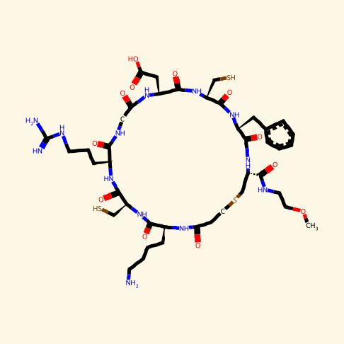 COCCNC(=O)[C@@H]1CSCCC(=O)N[C@@H](CCCCN)C(=O)N[C@@H](CS)C(=O)N[C@@H](CCCNC(=N)N)C(=O)NCC(=O)N[C@@H](CC(=O)O)C(=O)N[C@@H](CS)C(=O)N[C@@H](Cc2ccccc2)C(=O)N1